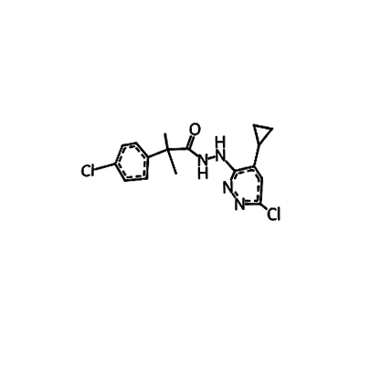 CC(C)(C(=O)NNc1nnc(Cl)cc1C1CC1)c1ccc(Cl)cc1